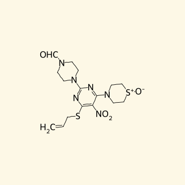 C=CCSc1nc(N2CCN(C=O)CC2)nc(N2CC[S+]([O-])CC2)c1[N+](=O)[O-]